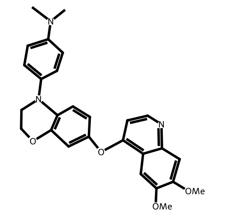 COc1cc2nccc(Oc3ccc4c(c3)OCCN4c3ccc(N(C)C)cc3)c2cc1OC